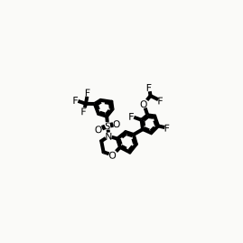 O=S(=O)(c1cccc(C(F)(F)F)c1)N1CCOc2ccc(-c3cc(F)cc(OC(F)F)c3F)cc21